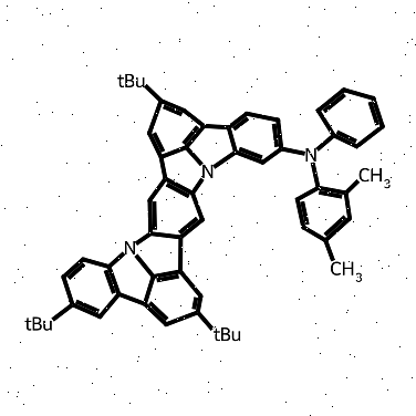 Cc1ccc(N(c2ccccc2)c2ccc3c4cc(C(C)(C)C)cc5c6cc7c(cc6n(c3c2)c45)c2cc(C(C)(C)C)cc3c4cc(C(C)(C)C)ccc4n7c32)c(C)c1